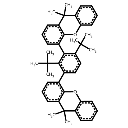 CC(C)(C)c1ccc(-c2cccc3c2Oc2ccccc2C3(C)C)c(C(C)(C)C)c1-c1cccc2c1Oc1ccccc1C2(C)C